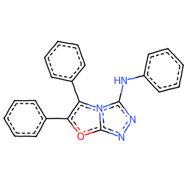 c1ccc(Nc2nnc3oc(-c4ccccc4)c(-c4ccccc4)n23)cc1